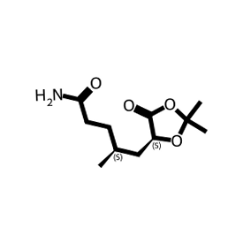 C[C@@H](CCC(N)=O)C[C@@H]1OC(C)(C)OC1=O